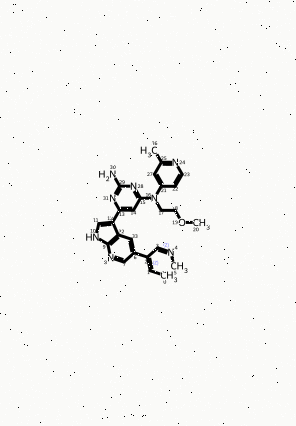 C/C=C(\C=N/C)c1cnc2[nH]cc(-c3cc(N(CCOC)c4ccnc(C)c4)nc(N)n3)c2c1